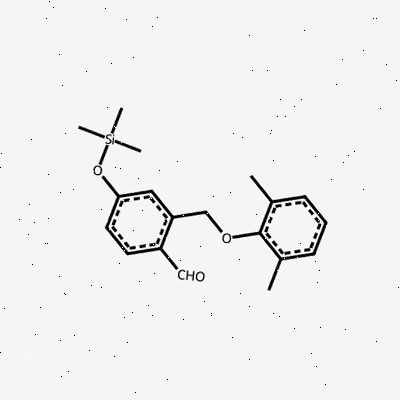 Cc1cccc(C)c1OCc1cc(O[Si](C)(C)C)ccc1C=O